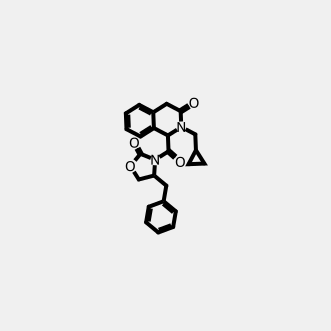 O=C1Cc2ccccc2C(C(=O)N2C(=O)OCC2Cc2ccccc2)N1CC1CC1